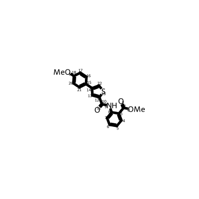 COC(=O)c1ccccc1NC(=O)c1cc(-c2ccc(OC)cc2)cs1